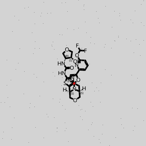 O=C(Nc1nc2c(s1)[C@@H]1COC[C@H](C2)N1c1ncc(-c2cccc(OC(F)F)n2)o1)N[C@@H]1COC[C@H]1O